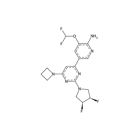 Nc1ncc(-c2cc(N3CCC3)nc(N3C[C@@H](F)[C@@H](F)C3)n2)cc1OC(F)F